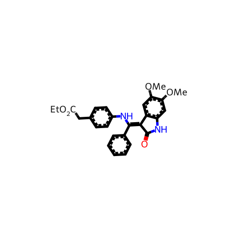 CCOC(=O)Cc1ccc(N/C(=C2/C(=O)Nc3cc(OC)c(OC)cc32)c2ccccc2)cc1